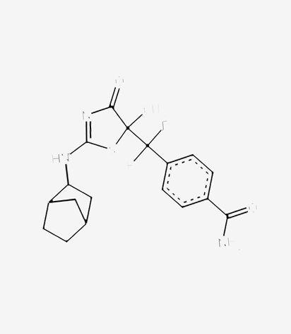 CC1(C(F)(F)c2ccc(C(N)=O)cc2)SC(NC2CC3CCC2C3)=NC1=O